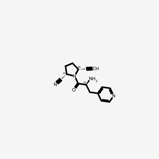 C#C[C@H]1CC[C@@H](C#N)N1C(=O)[C@@H](N)Cc1ccncc1